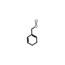 ClOCC1=CCCC=C1